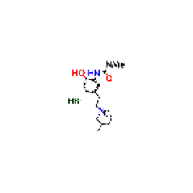 Br.CNC(=O)Nc1cc(CCN2CC(C)CC(C)C2)ccc1O